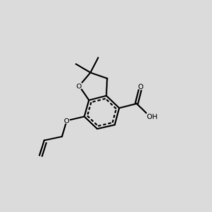 C=CCOc1ccc(C(=O)O)c2c1OC(C)(C)C2